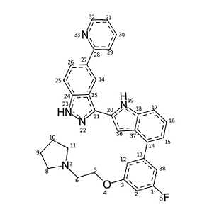 Fc1cc(OCCN2CCCC2)cc(-c2cccc3[nH]c(-c4n[nH]c5ccc(-c6ccccn6)cc45)cc23)c1